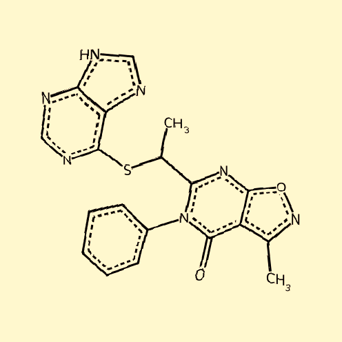 Cc1noc2nc(C(C)Sc3ncnc4[nH]cnc34)n(-c3ccccc3)c(=O)c12